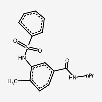 CCCNC(=O)c1ccc(C)c(NS(=O)(=O)c2ccccc2)c1